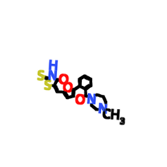 CN1CCCN(C(=O)c2ccccc2-c2ccc(C=C3SC(=S)NC3=O)o2)CC1